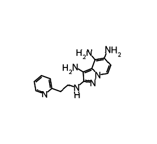 Nc1ccn2nc(NCCc3ccccn3)c(N)c2c1N